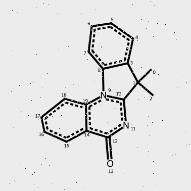 CC1(C)c2ccccc2-n2c1nc(=O)c1ccccc12